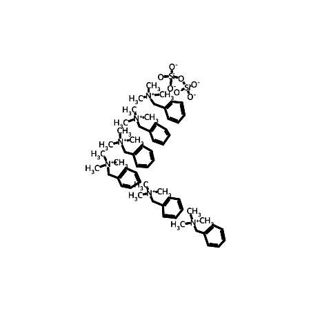 C[N+](C)(C)Cc1ccccc1.C[N+](C)(C)Cc1ccccc1.C[N+](C)(C)Cc1ccccc1.C[N+](C)(C)Cc1ccccc1.C[N+](C)(C)Cc1ccccc1.C[N+](C)(C)Cc1ccccc1.[O-][Si]([O-])([O-])O[Si]([O-])([O-])[O-]